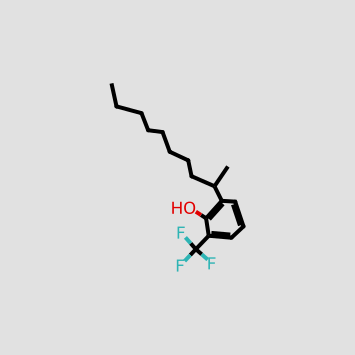 CCCCCCCCC(C)c1cccc(C(F)(F)F)c1O